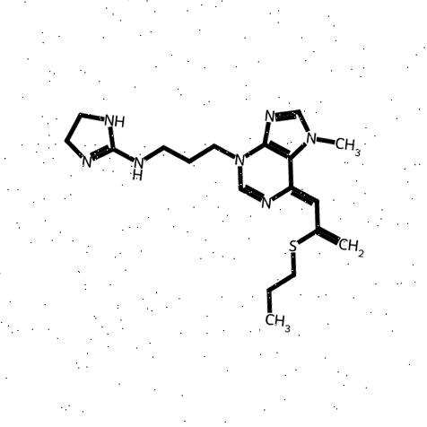 C=C(C=C1N=CN(CCCNC2=NCCN2)c2ncn(C)c21)SCCC